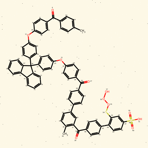 Cc1ccc(C(=O)c2ccc(Oc3ccc(C4(c5ccc(Oc6ccc(C(=O)c7ccc(-c8ccc(C)c(C(=O)c9ccc(-c%10ccc(S(=O)(=O)O)cc%10SOOO)cc9)c8)cc7)cc6)cc5)c5ccccc5-c5ccccc54)cc3)cc2)cc1